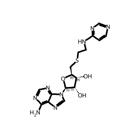 Nc1ncnc2c1ncn2[C@H]1O[C@@H](CSCCNc2ccncn2)[C@H](O)[C@@H]1O